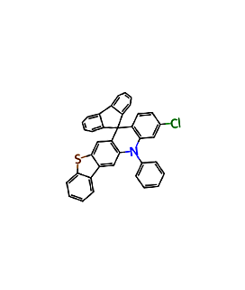 Clc1ccc2c(c1)N(c1ccccc1)c1cc3c(cc1C21c2ccccc2-c2ccccc21)sc1ccccc13